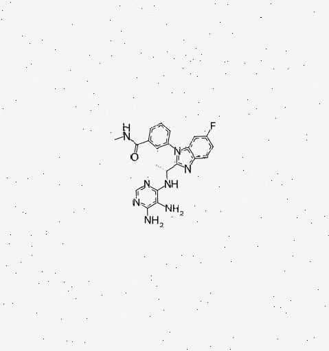 CNC(=O)c1cccc(-n2c([C@@H](C)Nc3ncnc(N)c3N)nc3ccc(F)cc32)c1